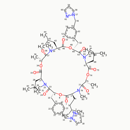 CC(C)CC[C@H]1C(=O)O[C@H](Cc2ccc(Cn3cccn3)cc2)C(=O)N(C)[C@@H](CC(C)C)C(=O)O[C@H](C)C(=O)N(C)[C@@H](CC(C)C)C(=O)O[C@H](Cc2cccc(Cn3cccn3)c2)C(=O)N(C)[C@@H](CC(C)C)C(=O)O[C@H](C)C(=O)N1C